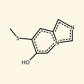 CSc1cc2cncn2cc1O